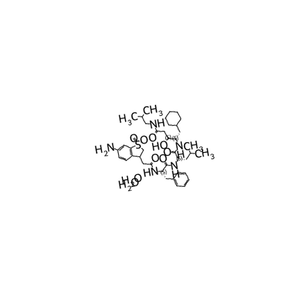 CC(C)CNC(=O)C[C@H](O)[C@H](CC1CCCCC1)NC(=O)[C@H](CC(C)C)NC(=O)[C@H](Cc1ccccc1)NC(=O)CC1CS(=O)(=O)c2cc(N)ccc21.O.O